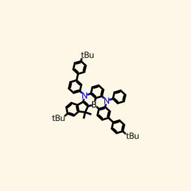 CC(C)(C)c1ccc(-c2cccc(N3C4=C(B5c6ccc(-c7ccc(C(C)(C)C)cc7)cc6N(c6ccccc6)c6cccc3c65)C(C)(C)c3cc(C(C)(C)C)ccc34)c2)cc1